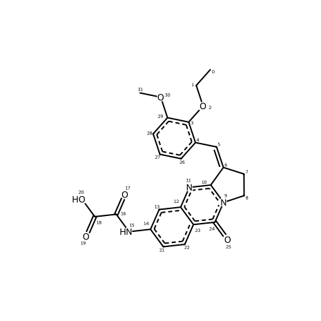 CCOc1c(/C=C2/CCn3c2nc2cc(NC(=O)C(=O)O)ccc2c3=O)cccc1OC